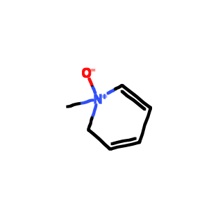 C[N+]1([O-])C=CC=CC1